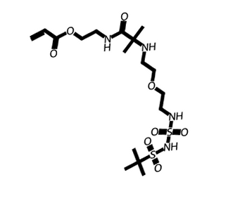 C=CC(=O)OCCNC(=O)C(C)(C)NCCOCCNS(=O)(=O)NS(=O)(=O)C(C)(C)C